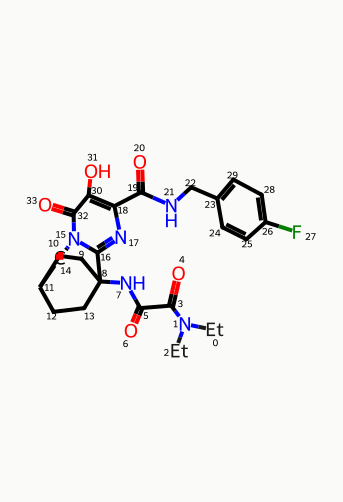 CCN(CC)C(=O)C(=O)NC12CCC(CC1)Cn1c2nc(C(=O)NCc2ccc(F)cc2)c(O)c1=O